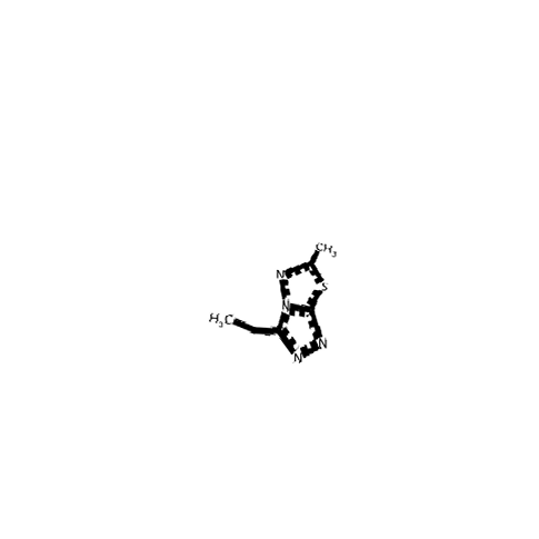 CCc1nnc2sc(C)nn12